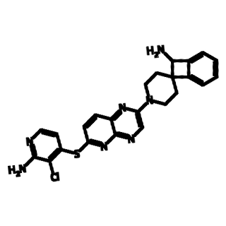 Nc1nccc(Sc2ccc3nc(N4CCC5(CC4)c4ccccc4C5N)cnc3n2)c1Cl